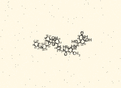 Cc1cc(C(=O)NCc2ccc(-c3cccc([C@](O)(C(=O)OCC4CCN(Cc5ccccc5)CC4)c4ccccc4)c3)s2)c(F)cc1CNC[C@H](O)c1ccc(O)c2[nH]c(=O)ccc12